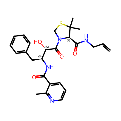 C=CCNC(=O)[C@H]1N(C(=O)[C@@H](O)[C@H](Cc2ccccc2)NC(=O)c2cccnc2C)CSC1(C)C